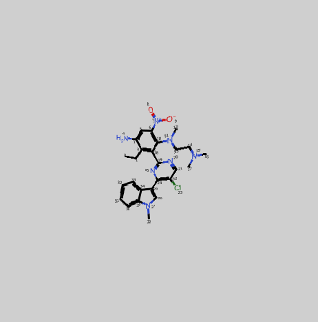 CCc1c(N)cc([N+](=O)[O-])c(N(C)CCN(C)C)c1-c1ncc(Cl)c(-c2cn(C)c3ccccc23)n1